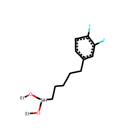 CCO[SiH](CCCCCc1ccc(F)c(F)c1)OCC